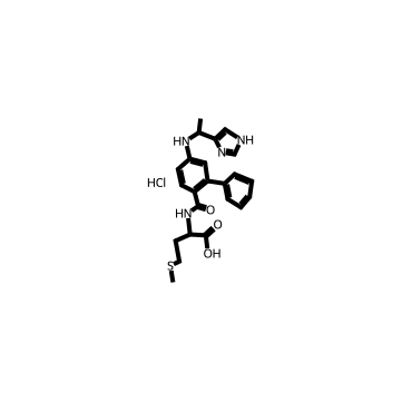 CSCCC(NC(=O)c1ccc(NC(C)c2c[nH]cn2)cc1-c1ccccc1)C(=O)O.Cl